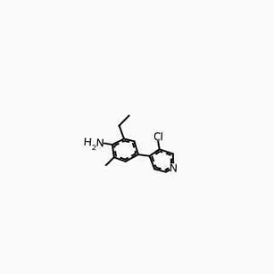 CCc1cc(-c2ccncc2Cl)cc(C)c1N